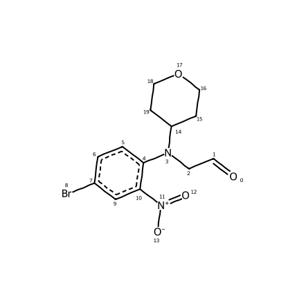 O=CCN(c1ccc(Br)cc1[N+](=O)[O-])C1CCOCC1